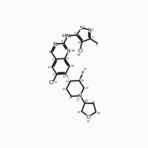 Cc1nsc(Nc2ncc3cc(Cl)c([C@H]4CCN(C5CCOC5)C[C@@H]4F)cc3n2)c1Cl